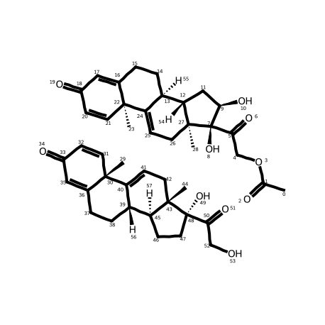 CC(=O)OCC(=O)[C@@]1(O)[C@H](O)C[C@H]2[C@@H]3CCC4=CC(=O)C=C[C@]4(C)C3=CC[C@@]21C.C[C@]12C=CC(=O)C=C1CC[C@@H]1C2=CC[C@@]2(C)[C@H]1CC[C@]2(O)C(=O)CO